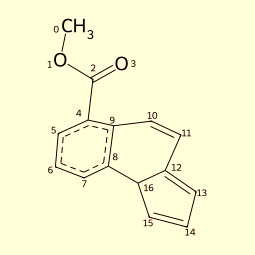 COC(=O)c1cccc2c1C=CC1=CC=CC12